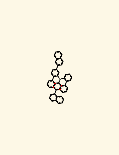 c1ccc(-c2ccccc2N(c2ccc(-c3cccc4ccccc34)cc2)c2cc(-c3ccc4ccccc4c3)ccc2-c2ccccc2)cc1